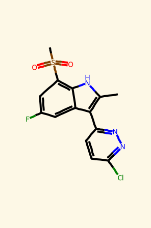 Cc1[nH]c2c(S(C)(=O)=O)cc(F)cc2c1-c1ccc(Cl)nn1